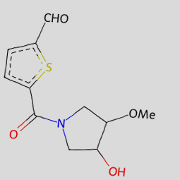 COC1CN(C(=O)c2ccc(C=O)s2)CC1O